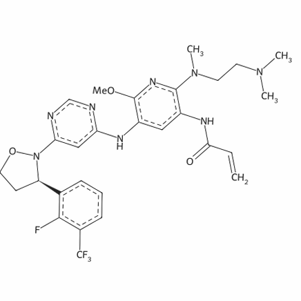 C=CC(=O)Nc1cc(Nc2cc(N3OCC[C@@H]3c3cccc(C(F)(F)F)c3F)ncn2)c(OC)nc1N(C)CCN(C)C